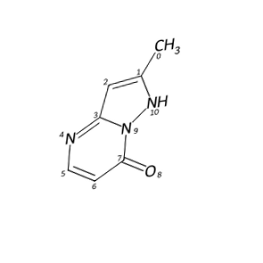 Cc1cc2nccc(=O)n2[nH]1